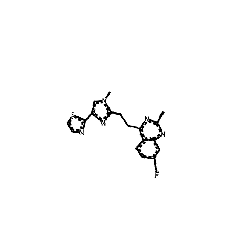 Cc1nc(CCc2nc(-c3nccs3)cn2C)c2ccc(F)cc2n1